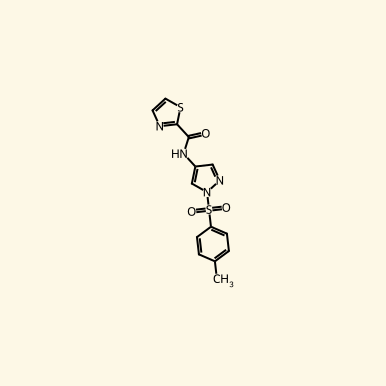 Cc1ccc(S(=O)(=O)n2cc(NC(=O)c3nccs3)cn2)cc1